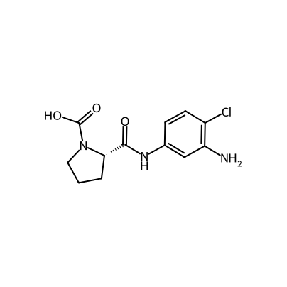 Nc1cc(NC(=O)[C@@H]2CCCN2C(=O)O)ccc1Cl